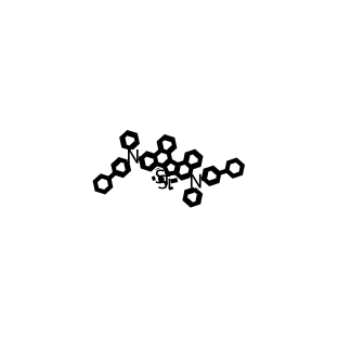 C[Si](C)(C)C1([Si](C)(C)C)c2cc(N(c3ccccc3)c3ccc(C4CCCCC4)cc3)c3ccccc3c2-c2c1c1ccc(N(c3ccccc3)c3ccc(C4CCCCC4)cc3)cc1c1ccccc21